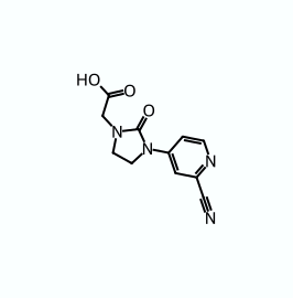 N#Cc1cc(N2CCN(CC(=O)O)C2=O)ccn1